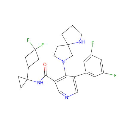 O=C(NC1(C2CC(F)(F)C2)CC1)c1cncc(-c2cc(F)cc(F)c2)c1N1CCC2(CCCN2)C1